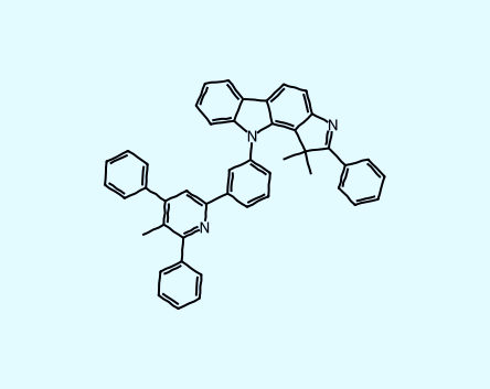 Cc1c(-c2ccccc2)cc(-c2cccc(-n3c4ccccc4c4ccc5c(c43)C(C)(C)C(c3ccccc3)=N5)c2)nc1-c1ccccc1